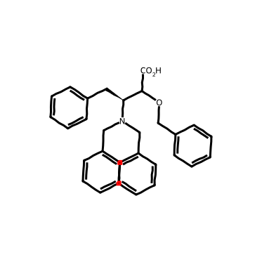 O=C(O)C(OCc1ccccc1)[C@H](Cc1ccccc1)N(Cc1ccccc1)Cc1ccccc1